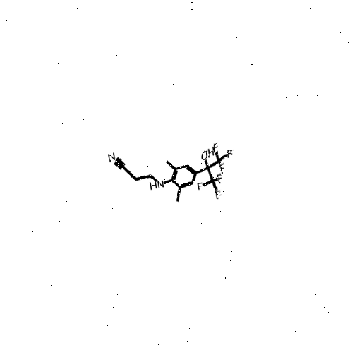 Cc1cc(C(O)(C(F)(F)F)C(F)(F)F)cc(C)c1NCCC#N